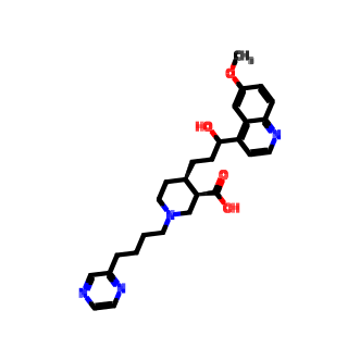 COc1ccc2nccc(C(O)CC[C@@H]3CCN(CCCCc4cnccn4)C[C@@H]3C(=O)O)c2c1